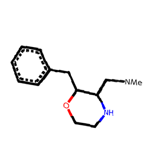 CNCC1NCCOC1Cc1ccccc1